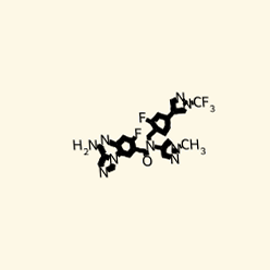 Cn1cc(N(Cc2ccc(-c3cnn(C(F)(F)F)c3)cc2F)C(=O)c2cc3c(cc2F)nc(N)c2cncn23)cn1